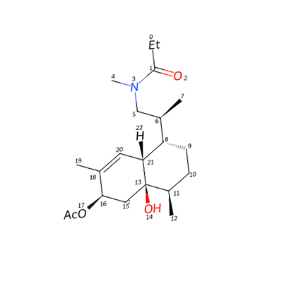 CCC(=O)N(C)C[C@@H](C)[C@@H]1CC[C@@H](C)[C@]2(O)[C][C@@H](OC(C)=O)C(C)=C[C@H]12